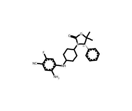 CC1(C)OC(=O)N(C2CCC(Nc3cc(F)c(C#N)cc3N)CC2)[C@H]1c1ccccc1